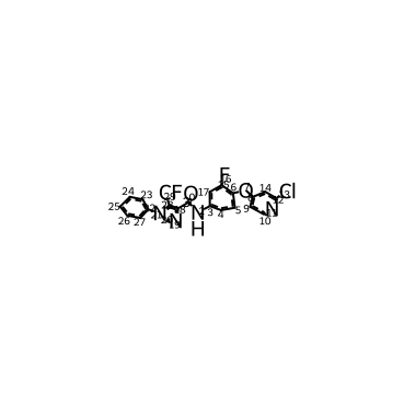 O=C(Nc1ccc(Oc2ccnc(Cl)c2)c(F)c1)c1ncn(-c2ccccc2)c1C(F)(F)F